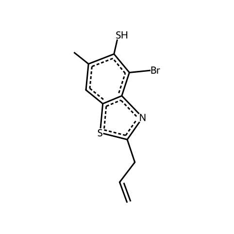 C=CCc1nc2c(Br)c(S)c(C)cc2s1